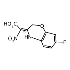 O=C(O)/C(=C1\COc2cc(F)ccc2N1)[N+](=O)[O-]